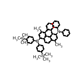 Cc1cc(N(c2ccccc2)c2ccccc2)c2c3ccccc3c3c(C)cc(B(c4ccc([Si](C)(C)C)cc4)c4ccc([Si](C)(C)C)cc4)c4ccc1c2c43